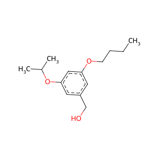 CCCCOc1cc(CO)cc(OC(C)C)c1